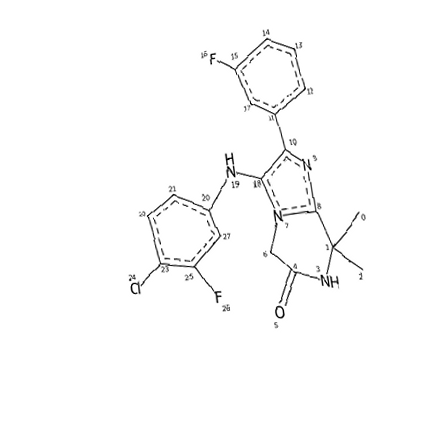 CC1(C)NC(=O)Cn2c1nc(-c1cccc(F)c1)c2Nc1ccc(Cl)c(F)c1